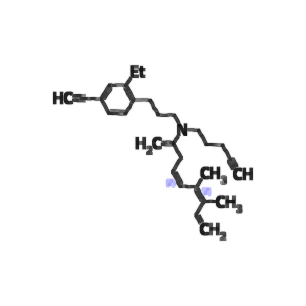 C#CCCCN(CCCc1ccc(C#C)cc1CC)C(=C)C/C=C\C(C)=C(\C)C=C